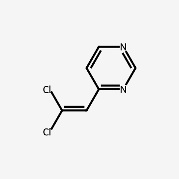 ClC(Cl)=Cc1ccncn1